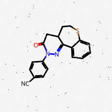 N#Cc1ccc(N2N=C3c4ccccc4SCCC3CC2=O)cc1